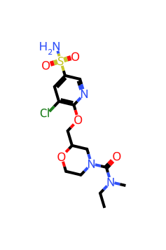 CCN(C)C(=O)N1CCOC(COc2ncc(S(N)(=O)=O)cc2Cl)C1